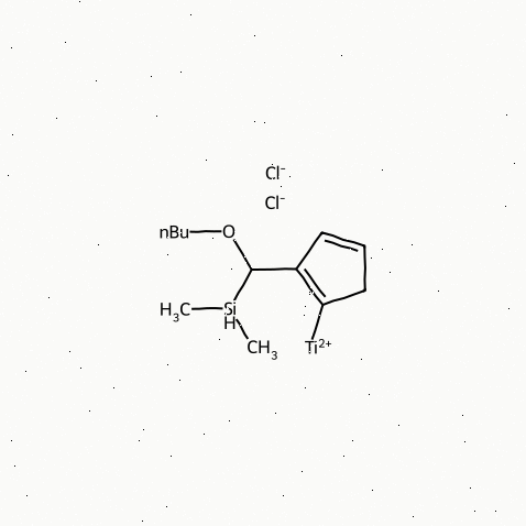 CCCCOC(C1=[C]([Ti+2])CC=C1)[SiH](C)C.[Cl-].[Cl-]